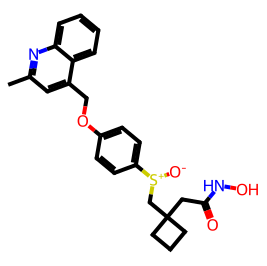 Cc1cc(COc2ccc([S+]([O-])CC3(CC(=O)NO)CCC3)cc2)c2ccccc2n1